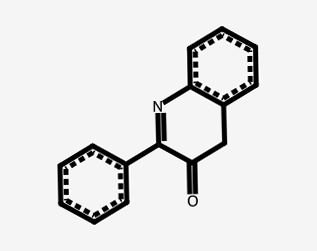 O=C1Cc2ccccc2N=C1c1ccccc1